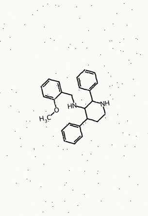 COc1ccccc1CNC1C(c2ccccc2)CCNC1c1ccccc1